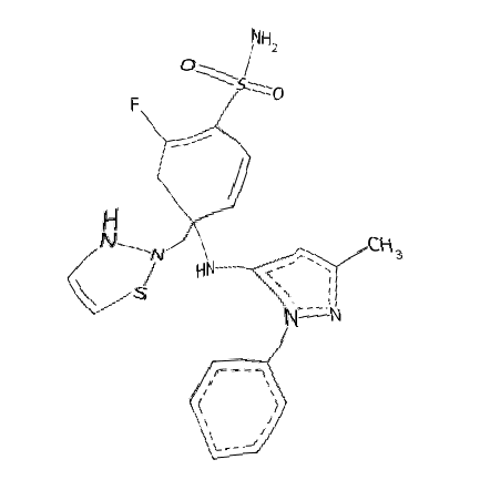 Cc1cc(NC2(N3NC=CS3)C=CC(S(N)(=O)=O)=C(F)C2)n(-c2ccccc2)n1